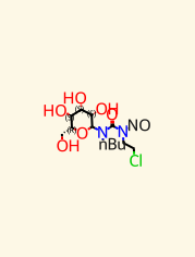 CCCCN(C(=O)N(CCCl)N=O)C1O[C@H](CO)[C@@H](O)[C@H](O)[C@@H]1O